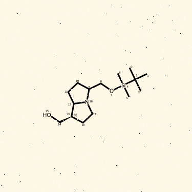 CC(C)(C)[Si](C)(C)OCC1CCC2[C@H](CO)CCN12